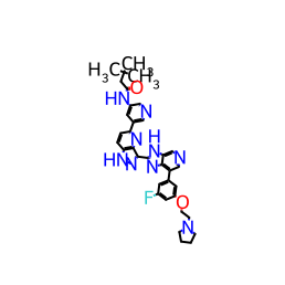 CC(C)(C)CC(=O)Nc1cncc(-c2ccc3[nH]nc(-c4nc5c(-c6cc(F)cc(OCCN7CCCC7)c6)cncc5[nH]4)c3n2)c1